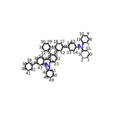 C1=CCCC(N(c2ccccc2)c2ccc(-c3cccc(-c4ccc5c(c4-c4ccccc4)c4ccc(-c6ccccc6)cc4n5-c4ccccc4)c3)cc2)=C1